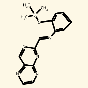 C[Si](C)(C)Oc1ccccc1N=Cc1ncc2nccnc2n1